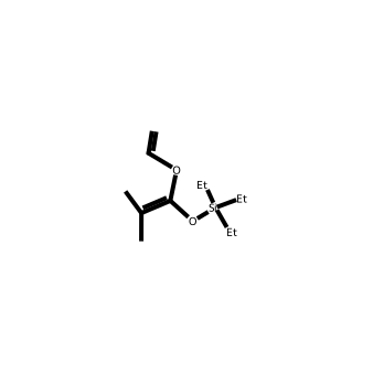 C=COC(O[Si](CC)(CC)CC)=C(C)C